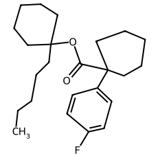 CCCCCC1(OC(=O)C2(c3ccc(F)cc3)CCCCC2)CCCCC1